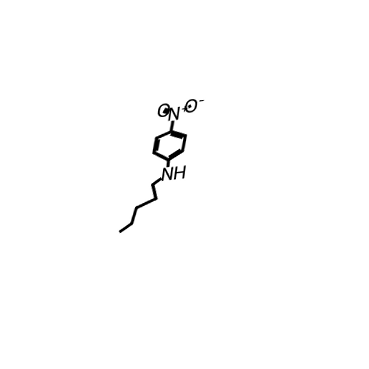 CCCCCNc1ccc([N+](=O)[O-])cc1